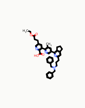 CCOC(=O)CCc1cnc(C(=O)O)c(-c2ncc(-c3nc(CCCN(Cc4ccccc4)Cc4ccccc4)cc4c3CCC4)cc2C)c1